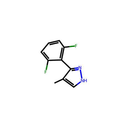 Cc1c[nH]nc1-c1c(F)cccc1F